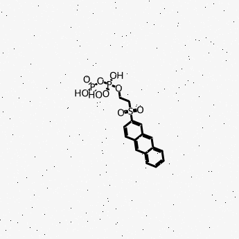 O=P(O)(O)OP(=O)(O)OCCS(=O)(=O)c1ccc2cc3ccccc3cc2c1